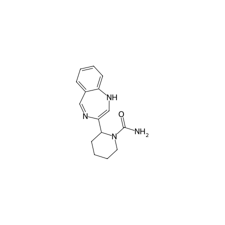 NC(=O)N1CCCCC1C1=CNc2ccccc2C=N1